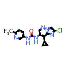 O=C(Nc1ccc(C(F)(F)F)nc1)Nc1cnn2cc(Cl)nc2c1C1CC1